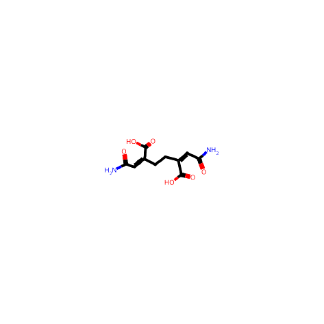 NC(=O)C=C(CCC(=CC(N)=O)C(=O)O)C(=O)O